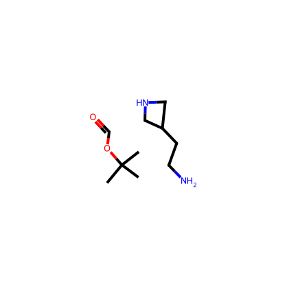 CC(C)(C)OC=O.NCCC1CNC1